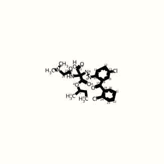 CCC(C)OC(=O)C(N=Nc1ccc(Cl)cc1C(=O)c1ccccc1Cl)(NC(=O)CN(C)C)C(=O)O